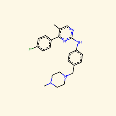 Cc1cnc(Nc2ccc(CN3CCN(C)CC3)cc2)nc1-c1ccc(F)cc1